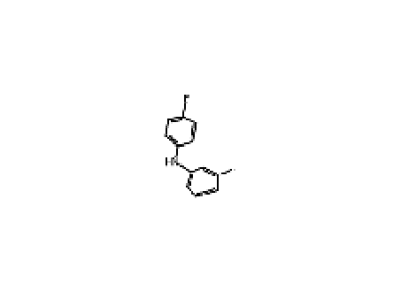 [CH2]c1cccc(Nc2ccc(F)cc2)c1